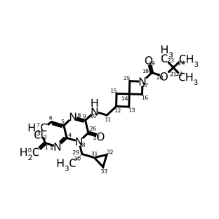 C=C(Cl)/N=C1\C(=C/C)N=C(NCC2CC3(C2)CN(C(=O)OC(C)(C)C)C3)C(=O)N1[C@@H](C)C1CC1